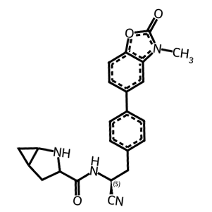 Cn1c(=O)oc2ccc(-c3ccc(C[C@@H](C#N)NC(=O)C4CC5CC5N4)cc3)cc21